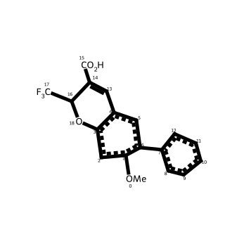 COc1cc2c(cc1-c1ccccc1)C=C(C(=O)O)C(C(F)(F)F)O2